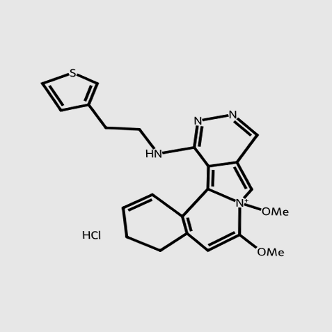 COC1=CC2=C(C=CCC2)C2=c3c(NCCc4ccsc4)nncc3=C[N+]12OC.Cl